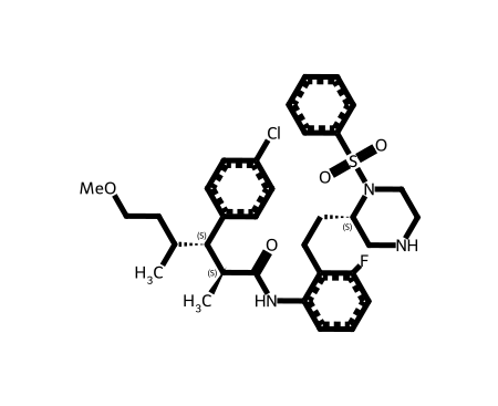 COCCC(C)[C@H](c1ccc(Cl)cc1)[C@H](C)C(=O)Nc1cccc(F)c1CC[C@H]1CNCCN1S(=O)(=O)c1ccccc1